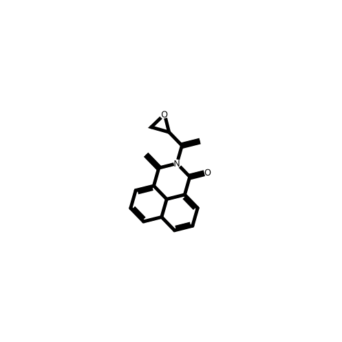 C=C1C2=CC=CC3C=CC=C(C(=O)N1C(=C)C1CO1)C23